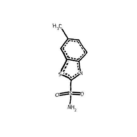 Cc1ccc2nc(S(N)(=O)=O)sc2c1